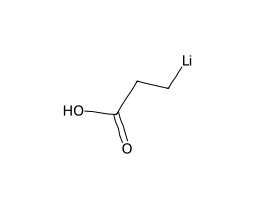 [Li][CH2]CC(=O)O